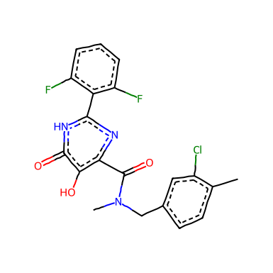 Cc1ccc(CN(C)C(=O)c2nc(-c3c(F)cccc3F)[nH]c(=O)c2O)cc1Cl